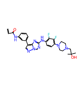 C=CC(=O)Nc1cccc(-c2cnn3cnc(Nc4ccc(N5CCN(CC(C)(C)O)CC5)c(F)c4F)nc23)c1